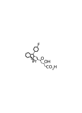 CC(C)n1c(/C=C/C(=O)CC(O)CC(=O)O)c(-c2ccc(F)cc2)c2ccccc21